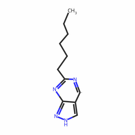 CCCCCCc1n[c]c2c[nH]nc2n1